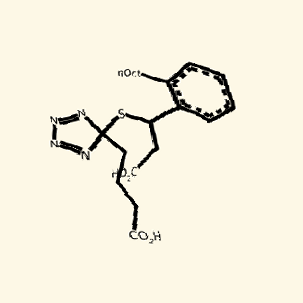 CCCCCCCCc1ccccc1C(CC(=O)O)SC1(CCCC(=O)O)N=NN=N1